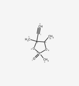 C#CC1(C)OP(C)(=O)OC1C